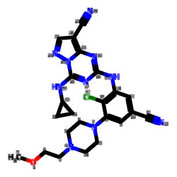 COCCN1CCN(c2cc(C#N)cc(Nc3nc(NC4CC4)n4ncc(C#N)c4n3)c2Cl)CC1